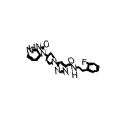 O=C(NCCc1ccccc1F)c1cc(N2CCC(n3c(=O)[nH]c4ncccc43)CC2)ncn1